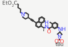 CCOC(=O)CCCCN1CCC(C#Cc2ccc([C@H](C)NC(=O)c3cc(NC4CN(C(=O)OC(C)(C)C)C4)ccc3C)c3ccccc23)CC1